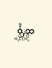 CC1(C)C=C(n2ccc3ccccc3c2=O)c2cc(C#N)ccc2O1